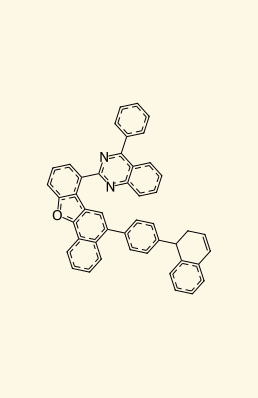 C1=Cc2ccccc2C(c2ccc(-c3cc4c(oc5cccc(-c6nc(-c7ccccc7)c7ccccc7n6)c54)c4ccccc34)cc2)C1